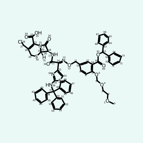 COCCOCOc1ccc(CON=C(C(=O)N[C@@H]2C(=O)N3C(C(=O)O)=C(CCl)CS[C@@H]23)c2csc(NC(c3ccccc3)(c3ccccc3)c3ccccc3)n2)cc1C(=O)OC(c1ccccc1)c1ccccc1